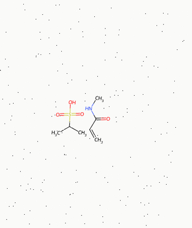 C=CC(=O)NC.CC(C)S(=O)(=O)O